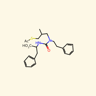 CC(=O)SCC(C)CN(CCc1ccccc1)C(=O)NC(Cc1ccccc1)C(=O)O